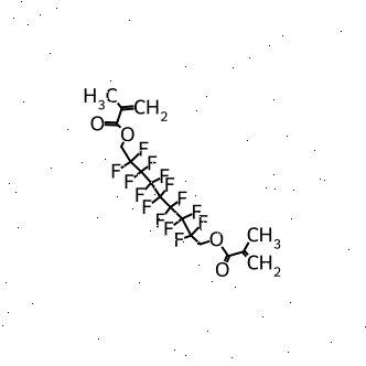 C=C(C)C(=O)OCC(F)(F)C(F)(F)C(F)(F)C(F)(F)C(F)(F)C(F)(F)C(F)(F)COC(=O)C(=C)C